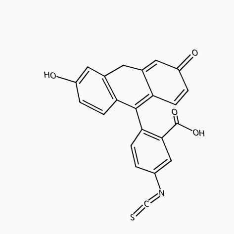 O=C1C=CC2=C(c3ccc(N=C=S)cc3C(=O)O)c3ccc(O)cc3CC2=C1